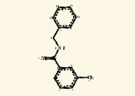 N#Cc1cccc(C(=O)NCc2cc[c]cc2)c1